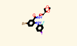 O=C(NOC[C@H]1COCO1)c1cc(Br)ccc1Nc1ccc(I)cc1F